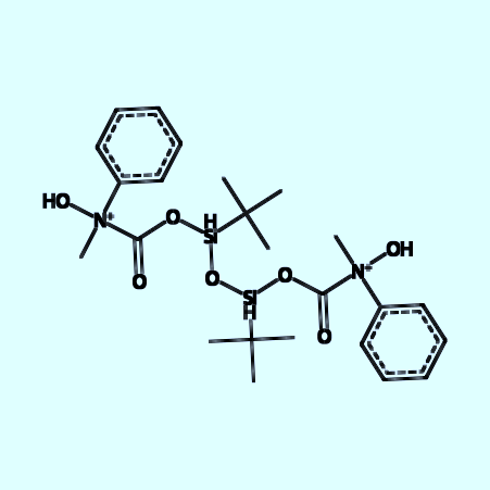 CC(C)(C)[SiH](OC(=O)[N+](C)(O)c1ccccc1)O[SiH](OC(=O)[N+](C)(O)c1ccccc1)C(C)(C)C